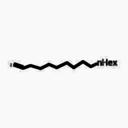 [C]=CCCCCCCCCCCCCCC